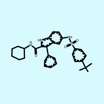 CC(C)(C)c1ccc(S(=O)(=O)Nc2ccc3[nH]c(C(=O)NC4CCCCC4)c(-c4ccccc4)c3c2)cc1